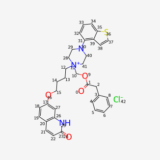 O=C(Cc1ccccc1)OC[N+]1(CCCCOc2ccc3ccc(=O)[nH]c3c2)CCN(c2cccc3sccc23)CC1.[Cl-]